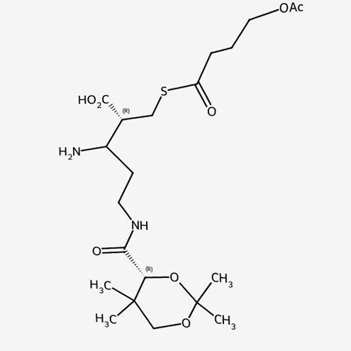 CC(=O)OCCCC(=O)SC[C@@H](C(=O)O)C(N)CCNC(=O)[C@@H]1OC(C)(C)OCC1(C)C